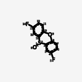 [O-][S+]1c2cc(F)ccc2Oc2ccc(F)cc21